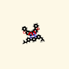 CC(C)Cc1ccc2c(c1)c1ccc3c4cc(CC(C)C)ccc4n(-c4nccc(-c5ccc6oc7ccccc7c6c5)n4)c3c1n2-c1cccc(-c2ccc3oc4ccccc4c3c2)c1